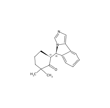 CC1(C)CCC[C@@H]([C@@H]2c3ccccc3-c3cncn32)C1=O